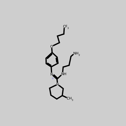 CC1CCCN(/C(=N/c2ccc(OCCCC(F)(F)F)cc2)NCCCN)C1